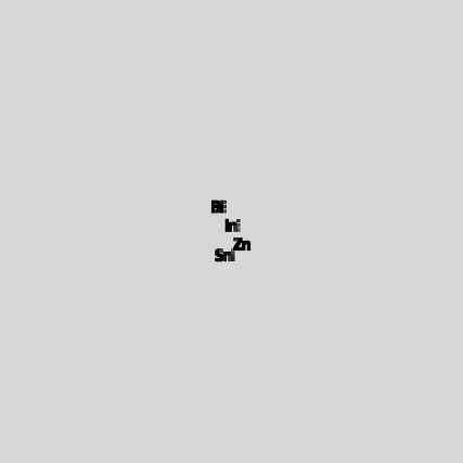 [Bi].[In].[Sn].[Zn]